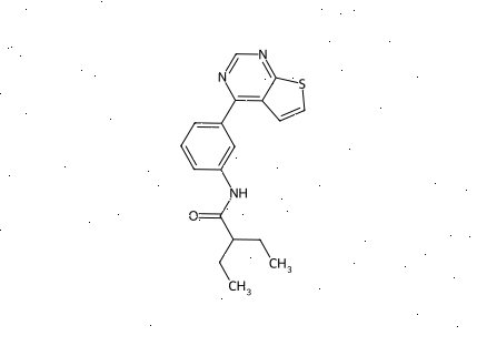 CCC(CC)C(=O)Nc1cccc(-c2ncnc3sccc23)c1